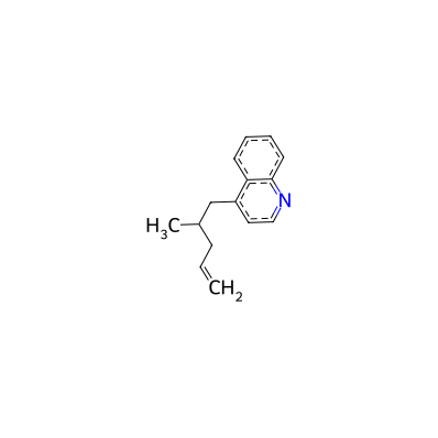 C=CCC(C)Cc1ccnc2ccccc12